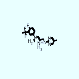 Cc1cnc(NC/C(N)=C/N(N)c2ccc(F)c(C(C)(F)F)c2)nc1